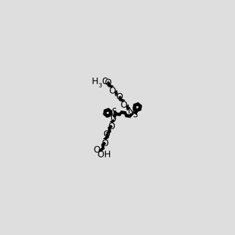 COCCOCCOCCOCC[n+]1c(\C=C/C=C\C=C2/Sc3ccccc3N2CCOCCOCCOCCC(=O)O)sc2ccccc21